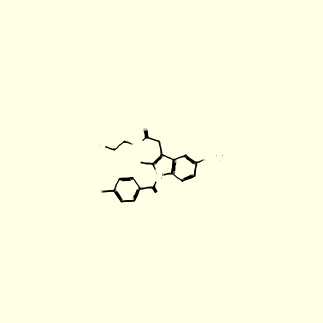 COc1ccc2c(c1)c(CC(=O)OCCC(C)C)c(C)n2C(=O)c1ccc(Cl)cc1